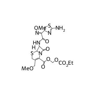 CCOC(=O)OCOC(=O)C1=C(COC)CS[C@H]2C(NC(=O)C(=NOC)c3csc(N)n3)C(=O)N12